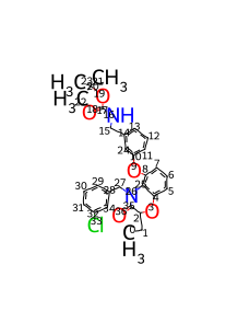 CCC1Oc2cccc(Oc3cccc(CNC(=O)OC(C)(C)C)c3)c2N(Cc2cccc(Cl)c2)C1=O